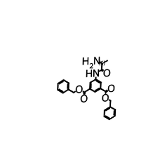 C[C@H](N)C(=O)Nc1cc(C(=O)OCc2ccccc2)cc(C(=O)OCc2ccccc2)c1